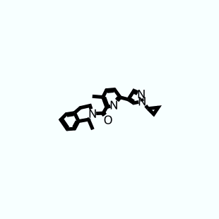 Cc1ccc(-c2cnn(C3CC3)c2)nc1C(=O)N1CCc2ccccc2C1C